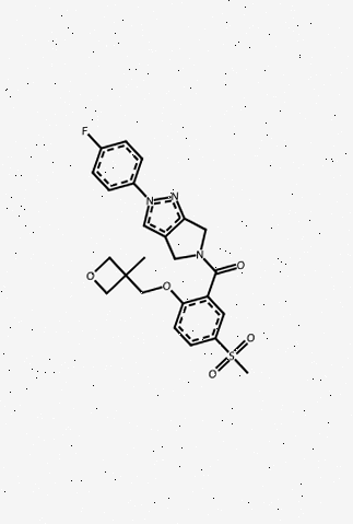 CC1(COc2ccc(S(C)(=O)=O)cc2C(=O)N2Cc3cn(-c4ccc(F)cc4)nc3C2)COC1